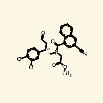 COC(=O)CN(C[C@@H](CC=O)c1ccc(Cl)c(Cl)c1)C(=O)c1cc(C#N)cc2ccccc12